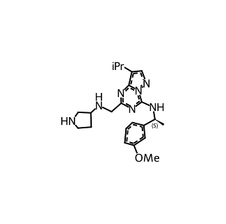 COc1cccc([C@H](C)Nc2nc(CNC3CCNC3)nc3c(C(C)C)cnn23)c1